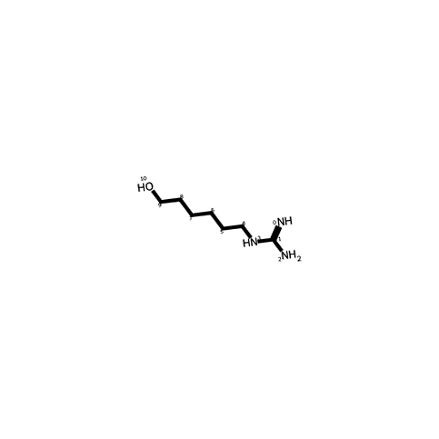 N=C(N)NCCCCCCO